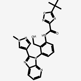 Cn1cc(-c2nc3cccnc3n2-c2cccc(NC(=O)c3noc(C(C)(C)C)n3)c2CO)cn1